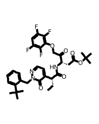 CC[C@@H](C(=O)N[C@@H](CC(=O)OC(C)(C)C)C(=O)COc1c(F)c(F)cc(F)c1F)c1ccnn(Cc2ccccc2C(C)(C)C)c1=O